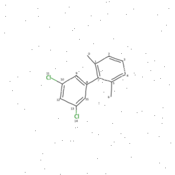 Cc1cccc(C)c1-c1cc(Cl)cc(Cl)c1